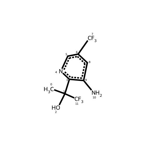 CC(O)(c1ncc(C(F)(F)F)cc1N)C(F)(F)F